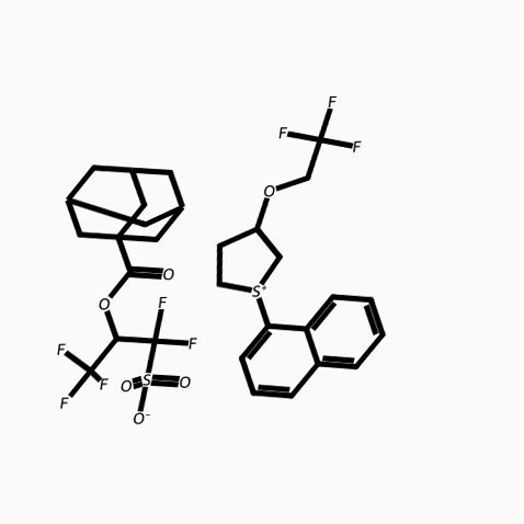 FC(F)(F)COC1CC[S+](c2cccc3ccccc23)C1.O=C(OC(C(F)(F)F)C(F)(F)S(=O)(=O)[O-])C12CC3CC(CC(C3)C1)C2